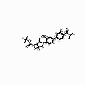 CC1C2N(C(=O)OC(C)(C)C)CC2(C)CN1c1ccc(-c2ccc(C(=O)N(C)C)c(Cl)c2)cc1Cl